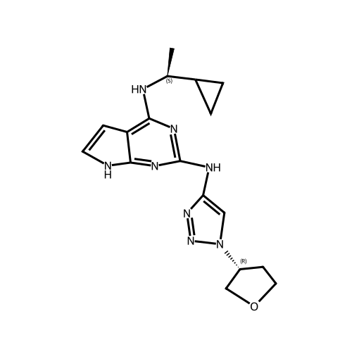 C[C@H](Nc1nc(Nc2cn([C@@H]3CCOC3)nn2)nc2[nH]ccc12)C1CC1